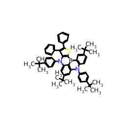 CC(C)(C)c1ccc(N2c3ccc(C(C)(C)C)cc3B3c4sc(-c5ccccc5)c(-c5ccccc5)c4N(c4ccc(C(C)(C)C)cc4)c4cc(C(C)(C)C)cc2c43)cc1